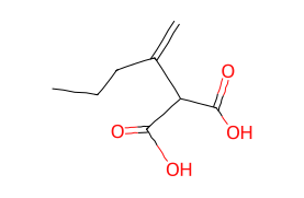 C=C(CCC)C(C(=O)O)C(=O)O